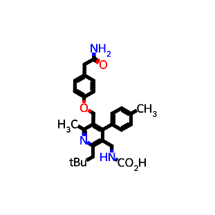 Cc1ccc(-c2c(COc3ccc(CC(N)=O)cc3)c(C)nc(CC(C)(C)C)c2CNC(=O)O)cc1